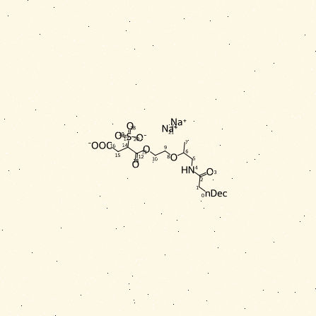 CCCCCCCCCCCC(=O)NCC(C)OCCOC(=O)C(CC(=O)[O-])S(=O)(=O)[O-].[Na+].[Na+]